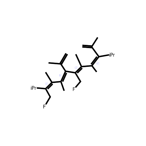 C=C(C)\C(=C(C)/C(C)=C(CF)/C(C(=C)C)=C(C)/C(C)=C(\CF)C(C)C)C(C)C